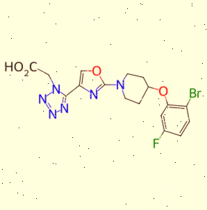 O=C(O)Cn1nnnc1-c1coc(N2CCC(Oc3cc(F)ccc3Br)CC2)n1